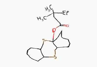 CCC(C)(C)C(=O)OC12CCCC1SC1CCCC1S2